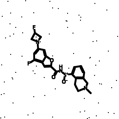 CN1CCc2c(cccc2[S+]([O-])NC(=O)c2cc3c(F)cc(N4CC(F)C4)cc3o2)C1